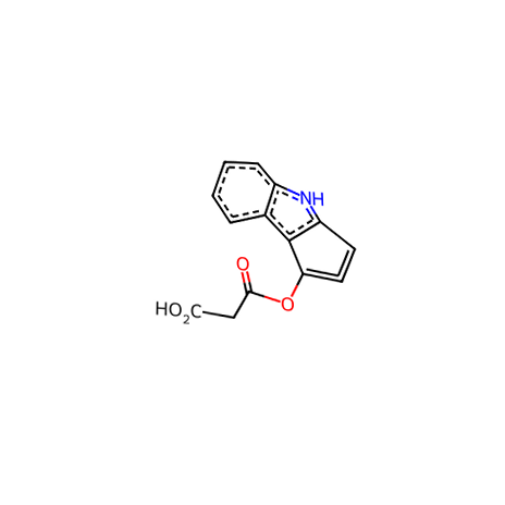 O=C(O)CC(=O)OC1=C=Cc2[nH]c3ccccc3c21